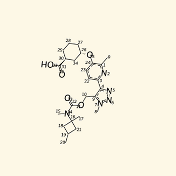 Cc1nc(-c2nnn(C)c2COC(=O)N(C)C2(C)CC(C)C2)ccc1O[C@H]1CCC[C@H](C(=O)O)C1